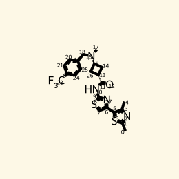 Cc1nc(C)c(-c2csc(NC(=O)[C@H]3C[C@H](N(C)Cc4ccc(C(F)(F)F)cc4)C3)n2)s1